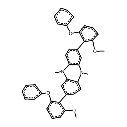 COc1cccc(Oc2ccccc2)c1-c1ccc2c(c1)N(C)c1ccc(-c3c(OC)cccc3Oc3ccccc3)cc1N2C